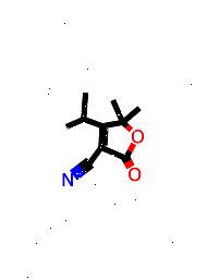 CC(C)C1=C(C#N)C(=O)OC1(C)C